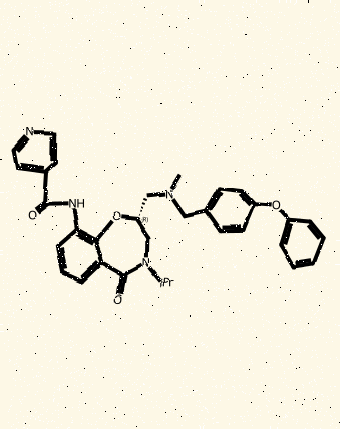 CC(C)N1C[C@@H](CN(C)Cc2ccc(Oc3ccccc3)cc2)Oc2c(NC(=O)c3ccncc3)cccc2C1=O